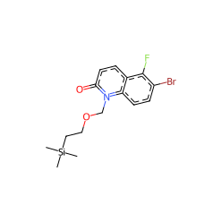 C[Si](C)(C)CCOCn1c(=O)ccc2c(F)c(Br)ccc21